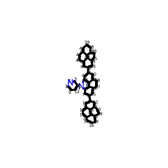 c1cncc(-n2c3cc(-c4cc5ccc6cccc7ccc(c4)c5c67)cc4ccc5cc(-c6cc7ccc8cccc9ccc(c6)c7c89)cc2c5c43)c1